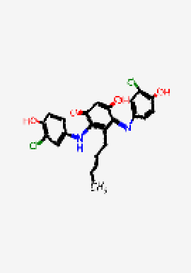 CCCCCC1=C(Nc2ccc(O)c(Cl)c2)C(=O)C=C(O)/C1=N\c1ccc(O)c(Cl)c1